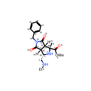 CCNC[C@H]1N[C@@](C)(C(=O)OC)[C@H]2C(=O)N(Cc3ccccc3)C(=O)[C@@H]12